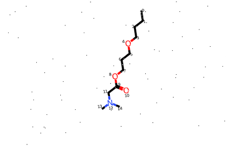 CCCCOCCCOC(=O)CN(C)C